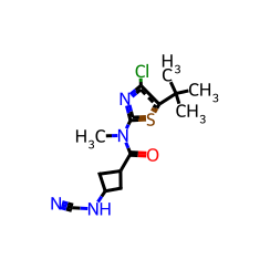 CN(C(=O)C1CC(NC#N)C1)c1nc(Cl)c(C(C)(C)C)s1